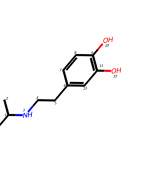 CC(C)NCCc1ccc(O)c(O)c1